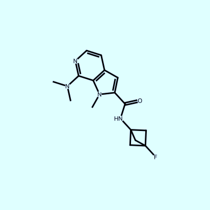 CN(C)c1nccc2cc(C(=O)NC34CC(F)(C3)C4)n(C)c12